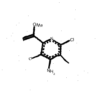 C=C(OC)c1nc(Cl)c(C)c(N)c1Cl